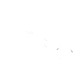 C=C1O[C@@H](c2ccc3c(NC(=O)c4ccccc4)ccnn23)[C@H](O[Si](C)(C)C(C)(C)C)[C@@H]1C